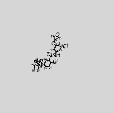 O=C(Nc1cc(Cl)cc(OC2COC2)c1)c1cc(N2CCCS2(=O)=O)ccc1Cl